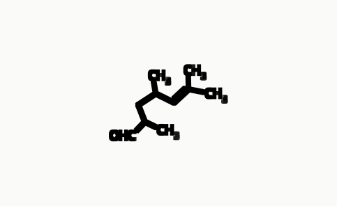 CC(C)=CC(C)CC(C)C=O